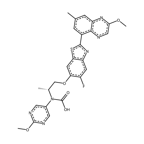 COc1cnc2c(-c3nc4cc(F)c(OC[C@@H](C)N(C(=O)O)c5cnc(OC)nc5)cc4s3)cc(C)cc2n1